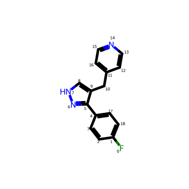 Fc1ccc(-c2n[nH]cc2Cc2ccncc2)cc1